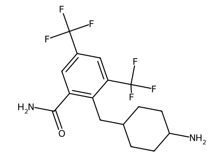 NC(=O)c1cc(C(F)(F)F)cc(C(F)(F)F)c1CC1CCC(N)CC1